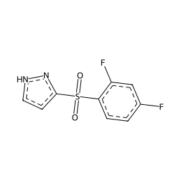 O=S(=O)(c1cc[nH]n1)c1ccc(F)cc1F